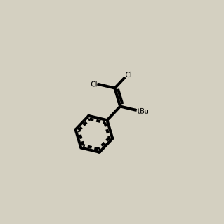 CC(C)(C)C(=C(Cl)Cl)c1ccccc1